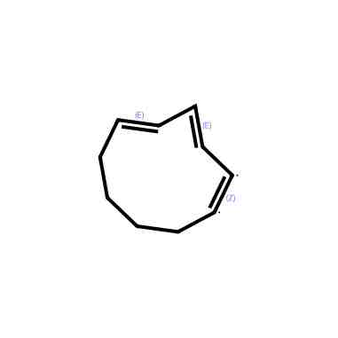 [C]1=[C]\CCCC/C=C/C=C/1